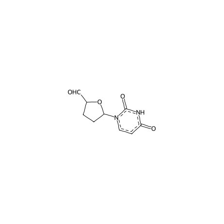 O=CC1CCC(n2ccc(=O)[nH]c2=O)O1